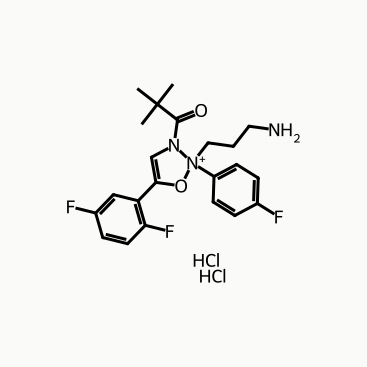 CC(C)(C)C(=O)N1C=C(c2cc(F)ccc2F)O[N+]1(CCCN)c1ccc(F)cc1.Cl.Cl